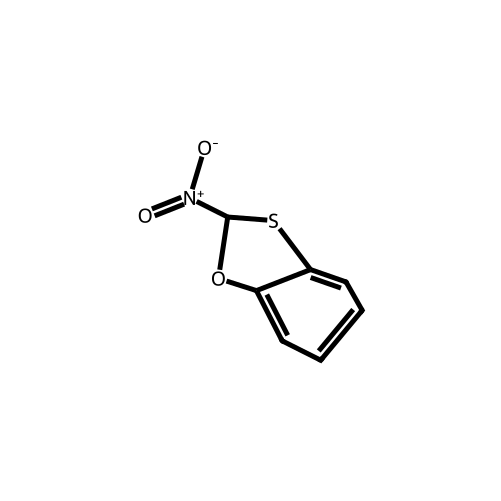 O=[N+]([O-])C1Oc2ccccc2S1